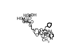 CC(C)C[C@@H](NC(=O)[C@@H](Cc1ccccc1)NC(=O)c1cnccn1)B1OCCN(CCOC(=O)NC(OP(O)O)OP(O)O)CCO1